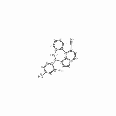 N#Cc1cnn2ccc3c2c1-c1ccccc1NC3c1ccc(O)cc1F